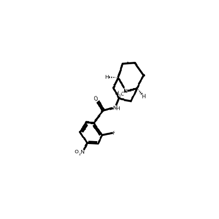 CN1[C@@H]2CCC[C@H]1CC(NC(=O)c1ccc([N+](=O)[O-])cc1F)C2